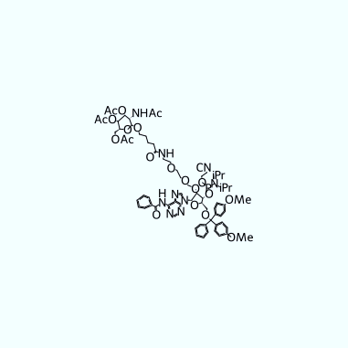 COc1ccc(C(OC[C@H]2O[C@@H](n3cnc4c(NC(=O)c5ccccc5)ncnc43)[C@H](OCOCCOCCNC(=O)CCCCO[C@H]3O[C@@H](COC(C)=O)[C@@H](OC(C)=O)[C@@H](OC(C)=O)[C@@H]3NC(C)=O)[C@@H]2OP(OCCC#N)N(C(C)C)C(C)C)(c2ccccc2)c2ccc(OC)cc2)cc1